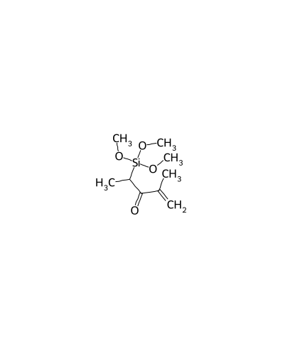 C=C(C)C(=O)C(C)[Si](OC)(OC)OC